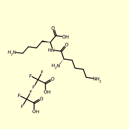 NCCCC[C@H](NC(=O)[C@@H](N)CCCCN)C(=O)O.O=C(O)C(F)(F)F.O=C(O)C(F)(F)F